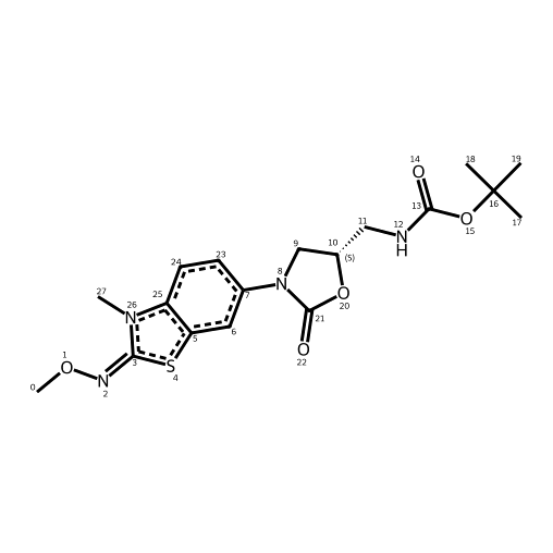 CON=c1sc2cc(N3C[C@H](CNC(=O)OC(C)(C)C)OC3=O)ccc2n1C